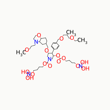 CCOCC(C)COCc1ccc(C2C(OCC3CCC4OCCN(CCCOC)C4C3)CN(C(=O)OCCCCON(O)O)CC2OC(=O)OCCCCON(O)O)cc1